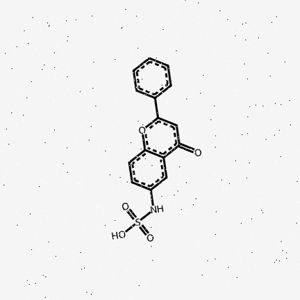 O=c1cc(-c2ccccc2)oc2ccc(NS(=O)(=O)O)cc12